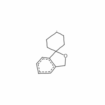 [CH]1CCC2(CC1)OCc1ccccc12